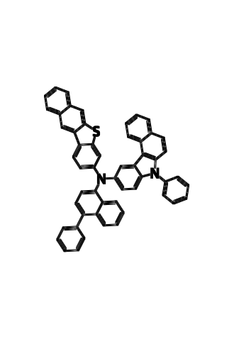 c1ccc(-c2ccc(N(c3ccc4c(c3)sc3cc5ccccc5cc34)c3ccc4c(c3)c3c5ccccc5ccc3n4-c3ccccc3)c3ccccc23)cc1